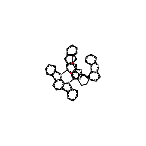 C1=Cc2c(oc3c(-n4c5ccccc5c5ccc6c7ccccc7n(-c7nc(-c8ccccc8)nc(-c8cccc9sc%10ccccc%10c89)n7)c6c54)cc(-c4ccccc4)cc23)CC1